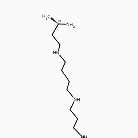 C[C@@H](N)CCNCCCCNCCCN